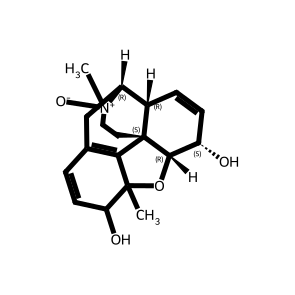 CC12O[C@H]3[C@@H](O)C=C[C@H]4[C@H]5CC(=C1[C@]43CC[N+]5(C)[O-])C=CC2O